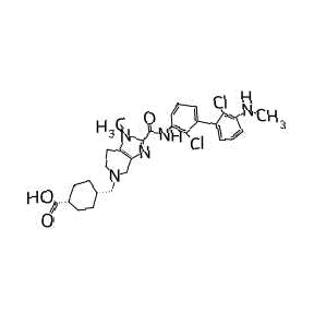 CNc1cccc(-c2cccc(NC(=O)c3nc4c(n3C)CCN(C[C@H]3CC[C@@H](C(=O)O)CC3)C4)c2Cl)c1Cl